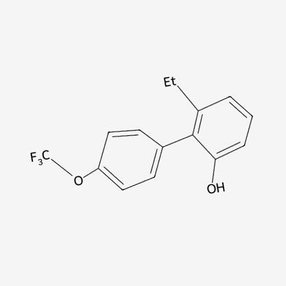 CCc1cccc(O)c1-c1ccc(OC(F)(F)F)cc1